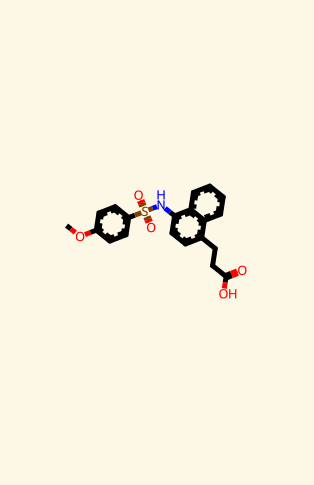 COc1ccc(S(=O)(=O)Nc2ccc(CCC(=O)O)c3ccccc23)cc1